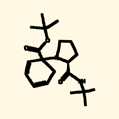 CC(C)(C)NC(=O)[C@@H]1CCCN1C1(C(=O)OC(C)(C)C)C=CC=CC1